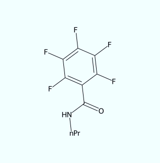 CCCNC(=O)c1c(F)c(F)c(F)c(F)c1F